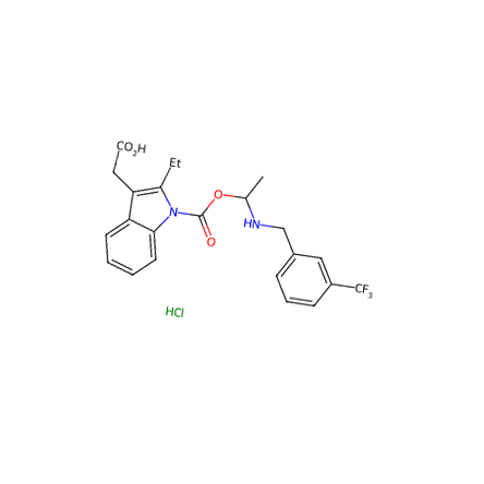 CCc1c(CC(=O)O)c2ccccc2n1C(=O)OC(C)NCc1cccc(C(F)(F)F)c1.Cl